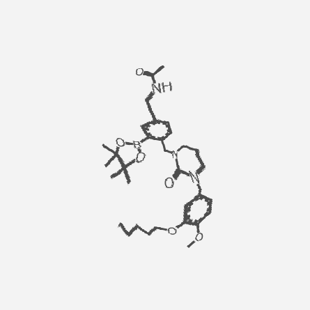 CCCCCOc1cc(N2CCCN(Cc3ccc(CNC(C)=O)cc3B3OC(C)(C)C(C)(C)O3)C2=O)ccc1OC